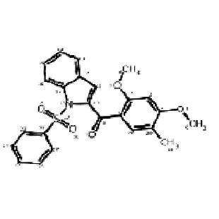 COc1cc(OC)c(C(=O)c2cc3ccccc3n2S(=O)(=O)c2ccccc2)cc1C